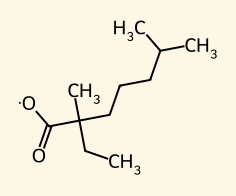 CCC(C)(CCCC(C)C)C([O])=O